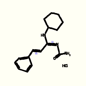 Cl.NC(=O)/N=C(\C=C\c1ccccc1)NC1CCCCC1